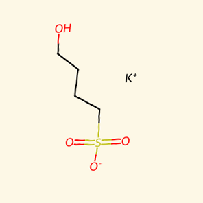 O=S(=O)([O-])CCCCO.[K+]